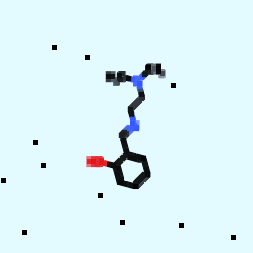 CN(C)CC/N=C/c1ccccc1O